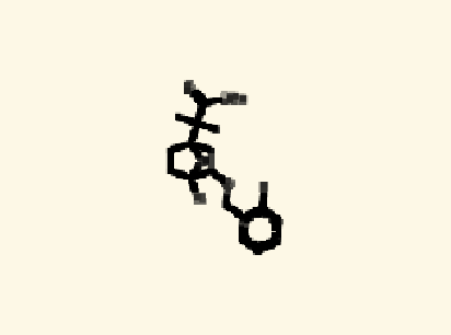 CCC12CCC(C(C)(C)C(=O)OC)(CC1OCc1ccccc1F)O2